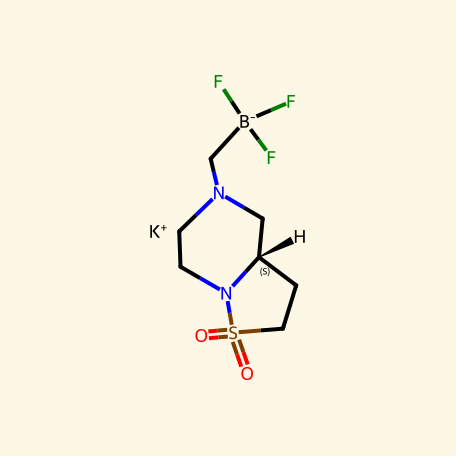 O=S1(=O)CC[C@H]2CN(C[B-](F)(F)F)CCN21.[K+]